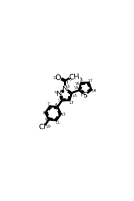 CC(=O)n1nc(-c2ccc(Cl)cc2)cc1-c1cccs1